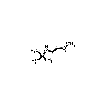 COCCP[N+](C)(C)C